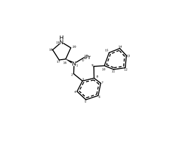 CC(C)N(Cc1ccccc1Cc1ccccc1)[C@H]1CCNC1